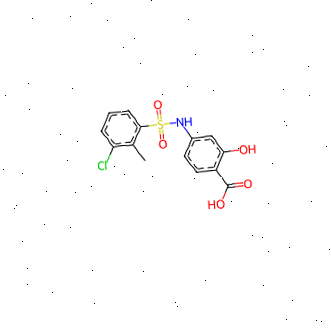 Cc1c(Cl)cccc1S(=O)(=O)Nc1ccc(C(=O)O)c(O)c1